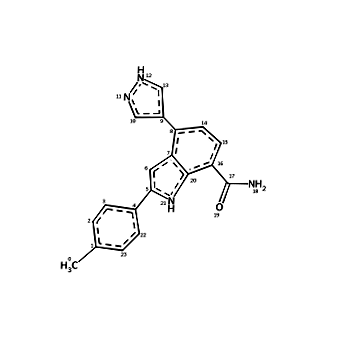 Cc1ccc(-c2cc3c(-c4cn[nH]c4)ccc(C(N)=O)c3[nH]2)cc1